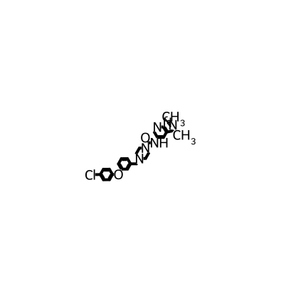 Cc1nn(C)c2ncc(NC(=O)N3CCN(Cc4cccc(Oc5ccc(Cl)cc5)c4)CC3)cc12